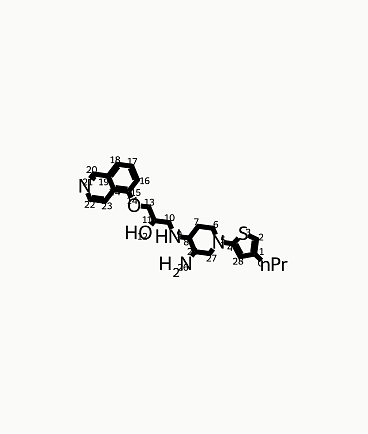 CCCc1csc(N2CCC(NCC(O)COc3cccc4cnccc34)C(N)C2)c1